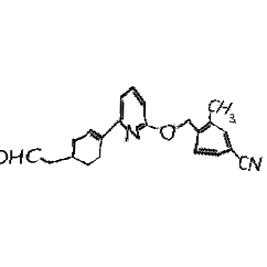 Cc1cc(C#N)ccc1COc1cccc(C2=CCC(CC=O)CC2)n1